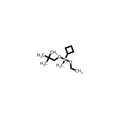 CCO[Si](C)(OCC(C)(C)C)C1CCC1